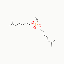 C=CP(=O)(OCCCCCC(C)C)OCCCCCC(C)C